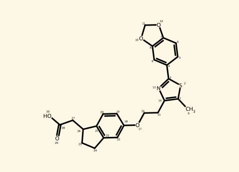 Cc1sc(-c2ccc3c(c2)OCO3)nc1CCOc1ccc2c(c1)CCC2CC(=O)O